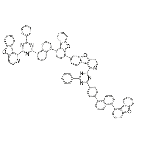 c1ccc(-c2nc(-c3ccc(-c4cccc5c(-c6cccc7oc8ccccc8c67)cccc45)cc3)nc(-c3nccc4oc5cc(-c6ccc(-c7cccc8c(-c9nc(-c%10ccccc%10)nc(-c%10nccc%11oc%12ccccc%12c%10%11)n9)cccc78)c7c6oc6ccccc67)ccc5c34)n2)cc1